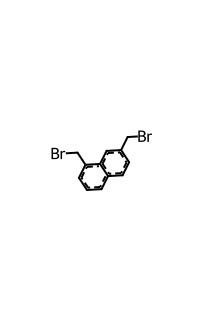 BrCc1ccc2cccc(CBr)c2c1